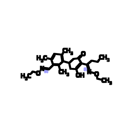 CCC/C(=N\OCC)C1=C(O)CC(c2c(C)cc(C)c(/C=N/OCC)c2C)CC1=O